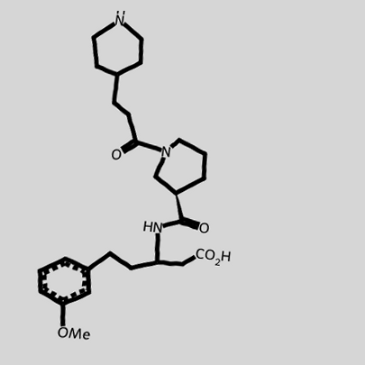 COc1cccc(CCC(CC(=O)O)NC(=O)[C@@H]2CCCN(C(=O)CCC3CCNCC3)C2)c1